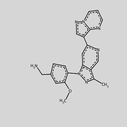 COc1cc(CN)ccc1-n1nc(C)c2cnc(-c3cnn4cccnc34)cc21